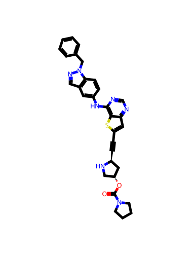 O=C(O[C@@H]1CN[C@@H](C#Cc2cc3ncnc(Nc4ccc5c(cnn5Cc5ccccc5)c4)c3s2)C1)N1CCCC1